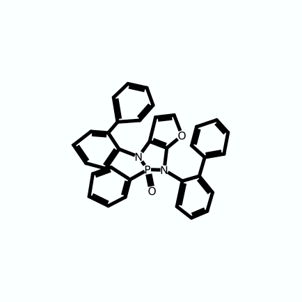 O=P1(c2ccccc2)N(c2ccccc2-c2ccccc2)c2ccoc2N1c1ccccc1-c1ccccc1